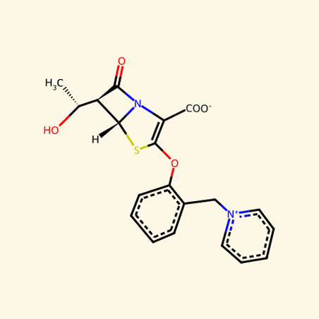 C[C@@H](O)[C@H]1C(=O)N2C(C(=O)[O-])=C(Oc3ccccc3C[n+]3ccccc3)S[C@H]12